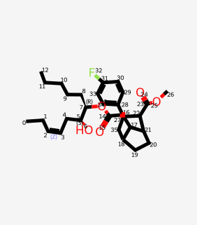 CC/C=C\C[C@H](O)[C@@H](CCCCC)OC(=O)CC1C2CCC1C(C(=O)OC)C(c1ccc(F)cc1)C2